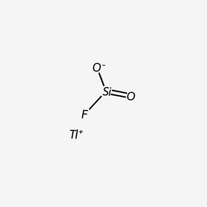 O=[Si]([O-])F.[Tl+]